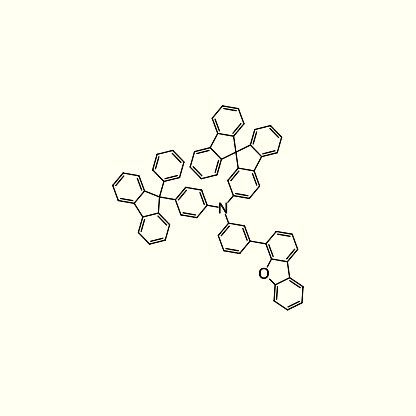 c1ccc(C2(c3ccc(N(c4cccc(-c5cccc6c5oc5ccccc56)c4)c4ccc5c(c4)C4(c6ccccc6-c6ccccc64)c4ccccc4-5)cc3)c3ccccc3-c3ccccc32)cc1